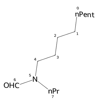 CCCCCCCCCN(C=O)CCC